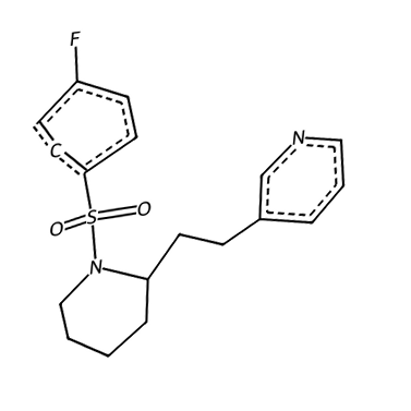 O=S(=O)(c1ccc(F)cc1)N1CCCCC1CCc1cccnc1